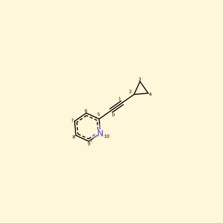 C(#CC1CC1)c1ccc[c]n1